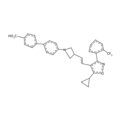 O=C(O)c1ccc(-c2ccc(N3CC(/C=C/c4c(-c5ccccc5C(F)(F)F)noc4C4CC4)C3)cc2)cc1